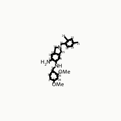 COc1ccc(CNc2cc3c(cc2N)CN(Cc2ccc(C)cc2C)C3)c(OC)c1